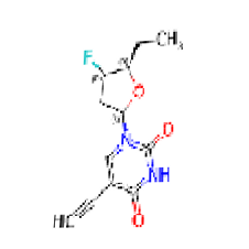 C#Cc1cn([C@H]2C[C@@H](F)[C@@H](CC)O2)c(=O)[nH]c1=O